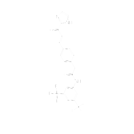 O=C(Cc1ccc(/C=C/C(=O)c2ncc[nH]2)cc1)Nc1cc(C(F)(F)F)cc(C(F)(F)F)c1